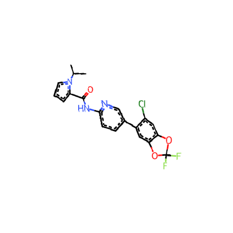 CC(C)n1cccc1C(=O)Nc1ccc(-c2cc3c(cc2Cl)OC(F)(F)O3)cn1